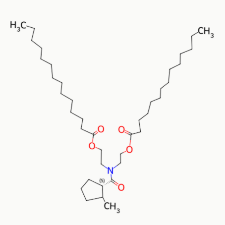 CCCCCCCCCCCCCC(=O)OCCN(CCOC(=O)CCCCCCCCCCCCC)C(=O)[C@H]1CCCC1C